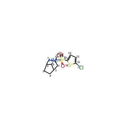 CC1CC2CCC(C1)C2NS(=O)(=O)c1ccc(Cl)s1